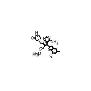 COCc1c(-c2cc3cc(C)cc(OC)c3s2)c2c(N)ncnn2c1CN1CCNC(=O)C1.Cl.O